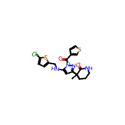 CC1(c2cc(NCc3ccc(Cl)s3)n(C(=O)c3ccsc3)n2)CCCNC1=O